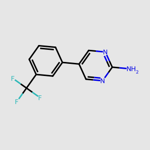 Nc1ncc(-c2cccc(C(F)(F)F)c2)cn1